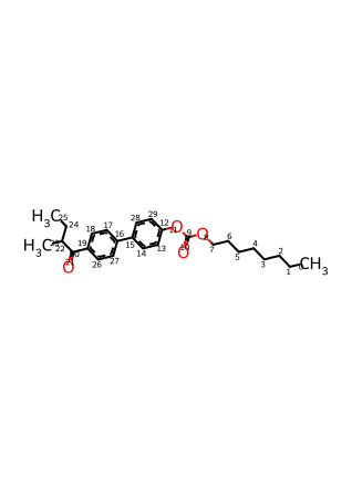 CCCCCCCCOC(=O)Oc1ccc(-c2ccc(C(=O)C(C)CC)cc2)cc1